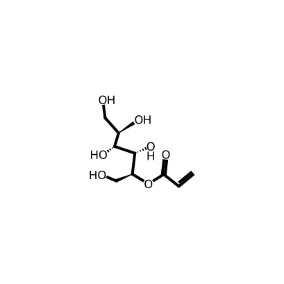 C=CC(=O)O[C@@H](CO)[C@@H](O)[C@H](O)[C@H](O)CO